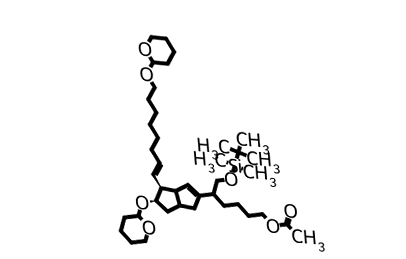 CC(=O)OCCCCC(CO[Si](C)(C)C(C)(C)C)C1=CC2C(C1)C[C@H](OC1CCCCO1)[C@H]2C=CCCCCCCOC1CCCCO1